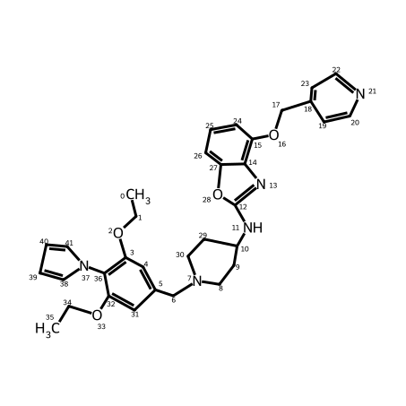 CCOc1cc(CN2CCC(Nc3nc4c(OCc5ccncc5)cccc4o3)CC2)cc(OCC)c1-n1cccc1